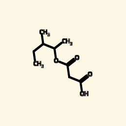 CCC(C)C(C)OC(=O)CC(=O)O